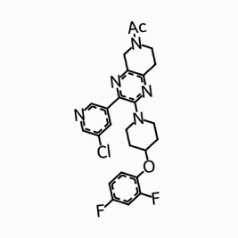 CC(=O)N1CCc2nc(N3CCC(Oc4ccc(F)cc4F)CC3)c(-c3cncc(Cl)c3)nc2C1